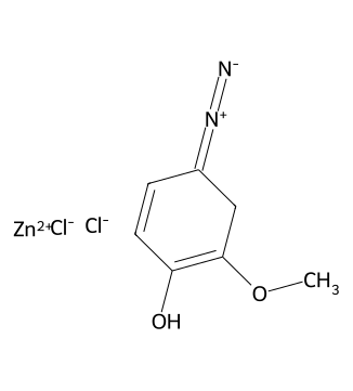 COC1=C(O)C=CC(=[N+]=[N-])C1.[Cl-].[Cl-].[Zn+2]